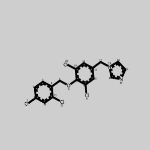 Clc1ccc(COc2c(Cl)cc(Cn3ccnc3)cc2Cl)c(Cl)c1